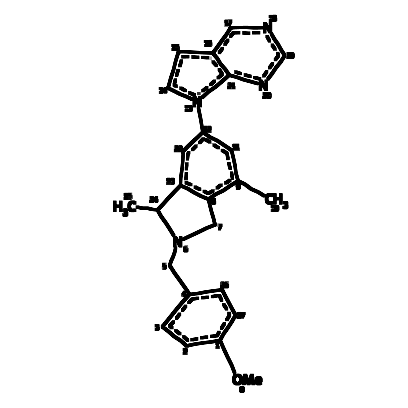 COc1ccc(CN2Cc3c(C)cc(-n4ccc5cncnc54)cc3C2C)cc1